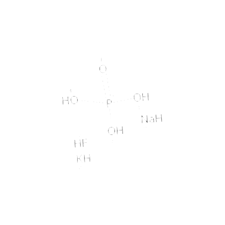 F.O=P(O)(O)O.[KH].[NaH]